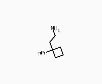 CCCC1(CCN)CCC1